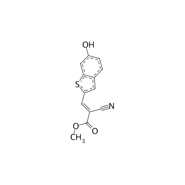 COC(=O)/C(C#N)=C/c1cc2ccc(O)cc2s1